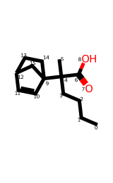 CCCCC(C)(C(=O)O)C12C=CC(CC1)C2